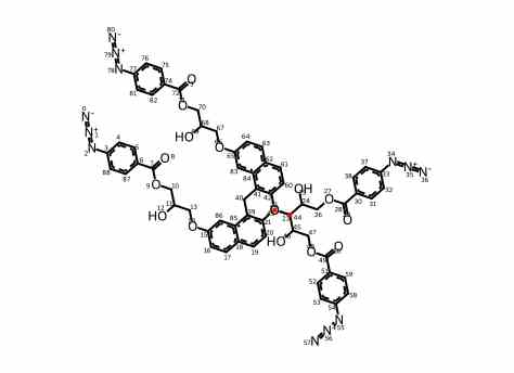 [N-]=[N+]=Nc1ccc(C(=O)OCC(O)COc2ccc3ccc(OCC(O)COC(=O)c4ccc(N=[N+]=[N-])cc4)c(Cc4c(OCC(O)COC(=O)c5ccc(N=[N+]=[N-])cc5)ccc5ccc(OCC(O)COC(=O)c6ccc(N=[N+]=[N-])cc6)cc45)c3c2)cc1